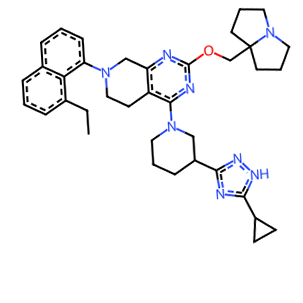 CCc1cccc2cccc(N3CCc4c(nc(OCC56CCCN5CCC6)nc4N4CCCC(c5n[nH]c(C6CC6)n5)C4)C3)c12